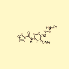 COc1cc(NC(=O)c2ccoc2)ccc1OCCNC(C)C